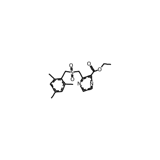 CCOC(=O)c1nccnc1CS(=O)(=O)Cc1c(C)cc(C)cc1C